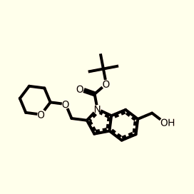 CC(C)(C)OC(=O)n1c(COC2CCCCO2)cc2ccc(CO)cc21